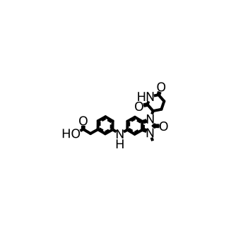 Cn1c(=O)n(C2CCC(=O)NC2=O)c2ccc(Nc3cccc(CC(=O)O)c3)cc21